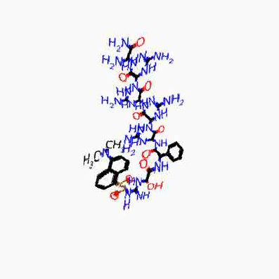 CN(C)c1cccc2c(S(=O)(=O)NC(=N)NC(O)C(=O)NC(C(=O)NC(NC(=N)N)C(=O)NC(NC(=N)N)C(=O)NC(NC(=N)N)C(=O)NC(NC(=N)N)C(=O)NC(N)C(N)=O)c3ccccc3)cccc12